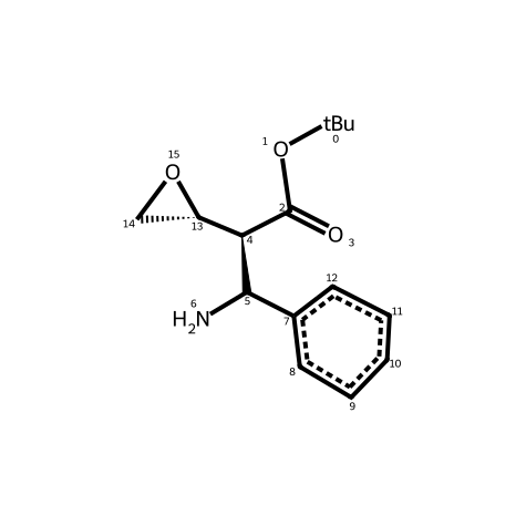 CC(C)(C)OC(=O)[C@@H](C(N)c1ccccc1)[C@@H]1CO1